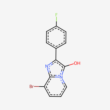 Oc1c(-c2ccc(F)cc2)nc2c(Br)cccn12